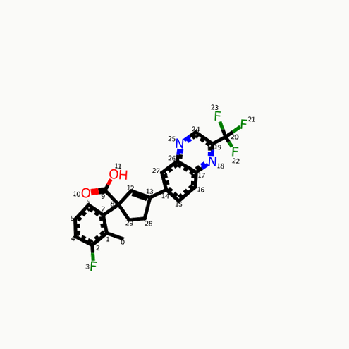 Cc1c(F)cccc1C1(C(=O)O)C=C(c2ccc3nc(C(F)(F)F)cnc3c2)CC1